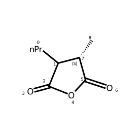 CCCC1C(=O)OC(=O)[C@H]1C